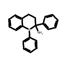 NC1(c2ccccc2)CCc2ccccc2N1c1ccccc1